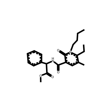 CCCCn1c(CC)c(C)cc(C(=O)NC(C(=O)OC)c2ccccc2)c1=O